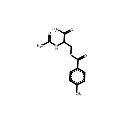 CC(=O)NC(CSC(=O)c1ccc(C)cc1)C(N)=O